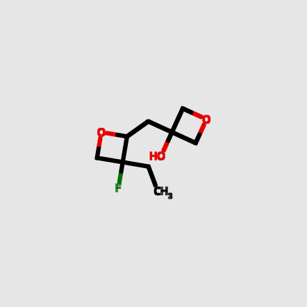 CCC1(F)COC1CC1(O)COC1